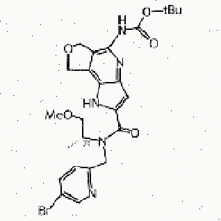 COC[C@@H](C)N(Cc1ccc(Br)cn1)C(=O)c1cc2nc(NC(=O)OC(C)(C)C)c3c(c2[nH]1)COC3